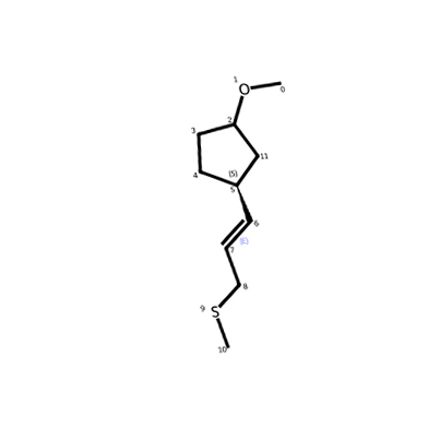 COC1CC[C@H](/C=C/CSC)C1